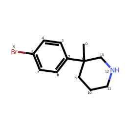 CC1(c2ccc(Br)cc2)CCCNC1